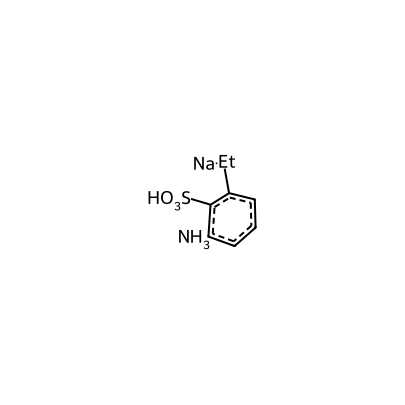 CCc1ccccc1S(=O)(=O)O.N.[Na]